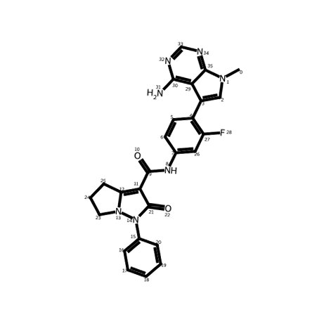 Cn1cc(-c2ccc(NC(=O)c3c4n(n(-c5ccccc5)c3=O)CCC4)cc2F)c2c(N)ncnc21